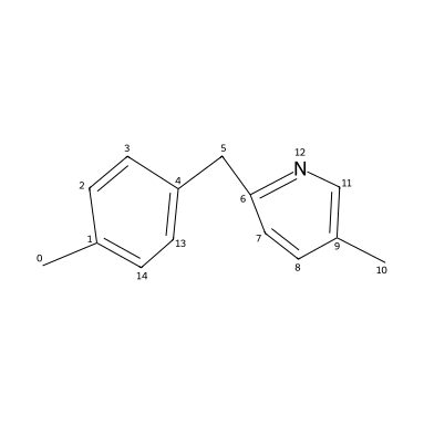 Cc1ccc(Cc2ccc(C)cn2)cc1